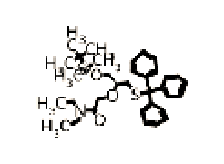 CCN(CC)C(=O)CO[C@@H](CO[Si](C)(C)C(C)(C)C)CSC(c1ccccc1)(c1ccccc1)c1ccccc1